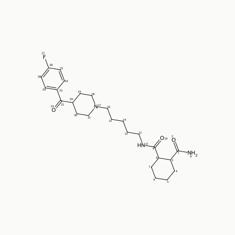 NC(=O)C1CCCCC1C(=O)NCCCCCN1CCC(C(=O)c2ccc(F)cc2)CC1